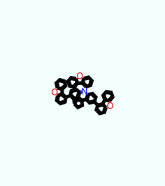 c1ccc2c(c1)oc1cccc(-c3ccc4c(c3)C35CCC(C3)c3c(-c6cccc7oc8ccccc8c67)ccc(c35)N4c3cccc4oc5ccccc5c34)c12